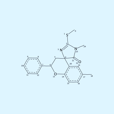 CSC1=NC2(CC(c3ccccc3)Oc3ccc(C)cc32)C(=O)N1C